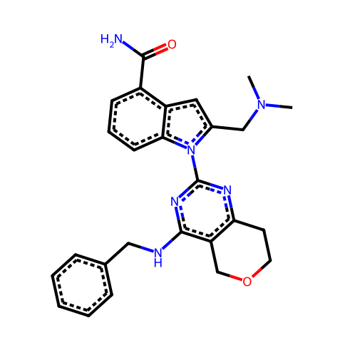 CN(C)Cc1cc2c(C(N)=O)cccc2n1-c1nc2c(c(NCc3ccccc3)n1)COCC2